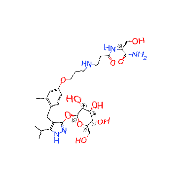 Cc1cc(OCCCNCCC(=O)N[C@@H](CO)C(N)=O)ccc1Cc1c(O[C@@H]2O[C@H](CO)[C@@H](O)[C@H](O)[C@H]2O)n[nH]c1C(C)C